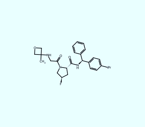 CC(C)c1ccc([C@@H](NC(=O)[C@@H]2C[C@@H](F)CN2C(=O)CNC2(C)COC2)c2ccccc2)cc1